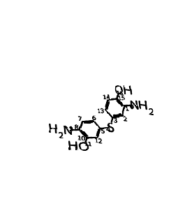 Nc1cc(Sc2ccc(N)c(O)c2)ccc1O